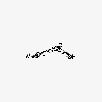 COOCCSCSCSCSCC(=O)OCSCSCO